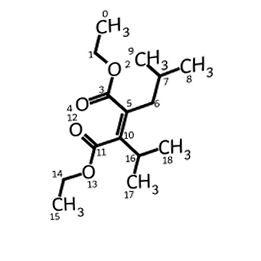 CCOC(=O)/C(CC(C)C)=C(\C(=O)OCC)C(C)C